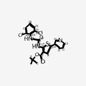 CC(C)(C)OC(=O)c1cc(-c2cccnc2)sc1NC(=O)Nc1c(Cl)cccc1Cl